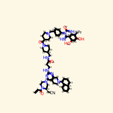 C=CC(=O)N1CCN(c2nc(NCCC(=O)NCC3CCN(C(=O)C4CCN(Cc5ccc(N(C(=N)c6cc(C(C)C)c(O)cc6O)C(N)=O)cc5)CC4)CC3)nc3c2CCN(c2cccc4ccccc24)C3)C[C@H]1CC#N